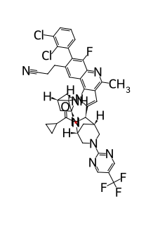 Cc1nc2c(F)c(-c3cccc(Cl)c3Cl)c(CCC#N)cc2c2c1cc([C@H]1[C@H]3C[C@H](CN(c4ncc(C(F)(F)F)cn4)C3)N1C(=O)C1CC1)n2[C@H]1[C@H]2CN[C@@H]1C2